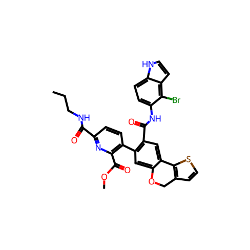 CCCNC(=O)c1ccc(-c2cc3c(cc2C(=O)Nc2ccc4[nH]ccc4c2Br)-c2sccc2CO3)c(C(=O)OC)n1